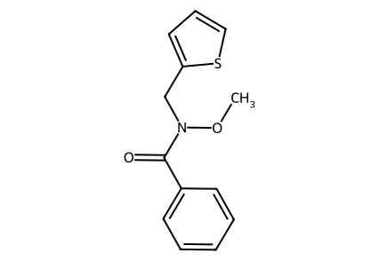 CON(Cc1cccs1)C(=O)c1ccccc1